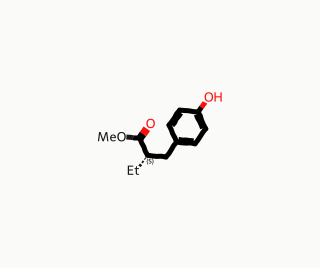 CC[C@@H](Cc1ccc(O)cc1)C(=O)OC